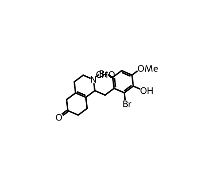 COc1cc(Br)c(CC2C3=C(CCN2C=O)CC(=O)CC3)c(Br)c1O